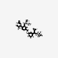 Cc1cc(-c2ccc(COc3cccc(C(COS(C)(=O)=O)C4CC4)c3)cc2CN(C(C)C)C(C)C)c(F)cn1